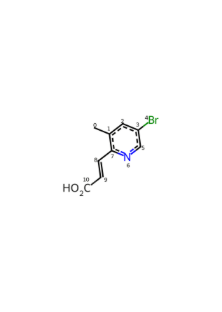 Cc1cc(Br)cnc1C=CC(=O)O